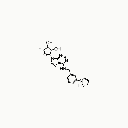 C[C@H]1O[C@@H](n2cnc3c(NCc4cccc(N5C=CCN5)c4)ncnc32)[C@H](O)[C@@H]1O